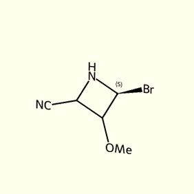 COC1C(C#N)N[C@H]1Br